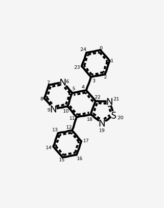 c1ccc(-c2c3nccnc3c(-c3ccccc3)c3nsnc23)cc1